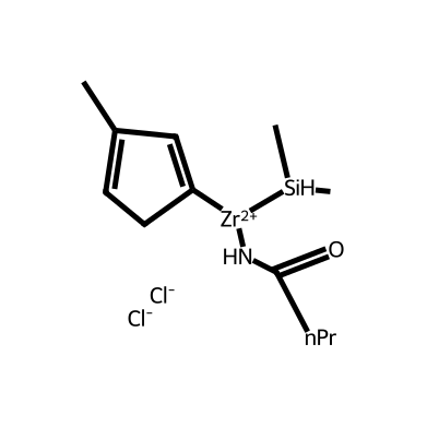 CCCC(=O)[NH][Zr+2]([C]1=CC(C)=CC1)[SiH](C)C.[Cl-].[Cl-]